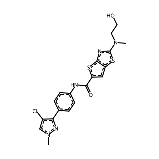 CN(CCO)c1nc2sc(C(=O)Nc3ccc(-c4nn(C)cc4Cl)cc3)cc2s1